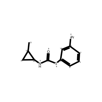 CC(C)c1cccc(SC(=O)NC2CC2C)c1